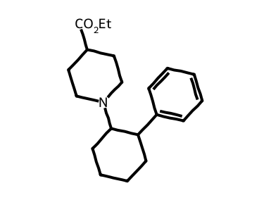 CCOC(=O)C1CCN(C2CCCCC2c2ccccc2)CC1